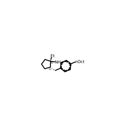 CCCCCCCCc1ccc(C[C@@H]2CCC[C@@]2(N)CC)cc1